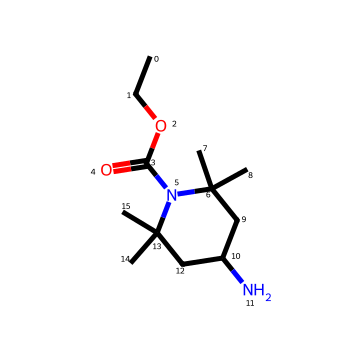 CCOC(=O)N1C(C)(C)CC(N)CC1(C)C